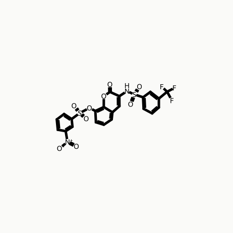 O=c1oc2c(OS(=O)(=O)c3cccc([N+](=O)[O-])c3)cccc2cc1NS(=O)(=O)c1cccc(C(F)(F)F)c1